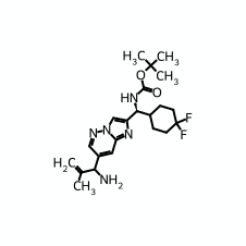 C=C(C)C(N)c1cnn2cc([C@@H](NC(=O)OC(C)(C)C)C3CCC(F)(F)CC3)nc2c1